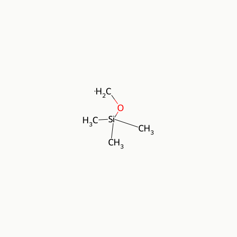 [CH2]O[Si](C)(C)C